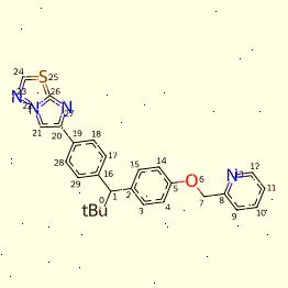 CC(C)(C)C(c1ccc(OCc2ccccn2)cc1)c1ccc(-c2cn3ncsc3n2)cc1